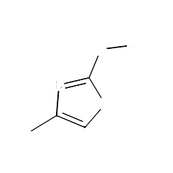 Cc1csc(OS)n1